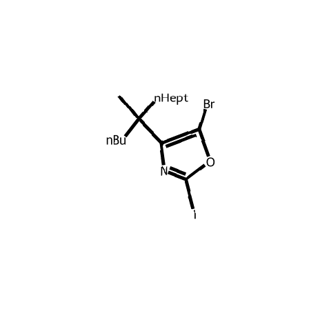 CCCCCCCC(C)(CCCC)c1nc(I)oc1Br